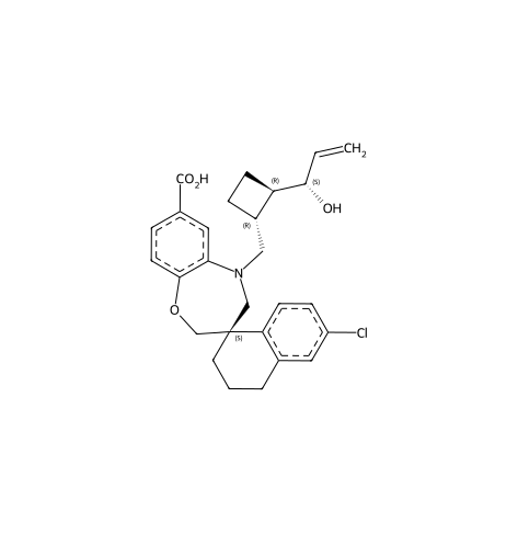 C=C[C@H](O)[C@@H]1CC[C@H]1CN1C[C@@]2(CCCc3cc(Cl)ccc32)COc2ccc(C(=O)O)cc21